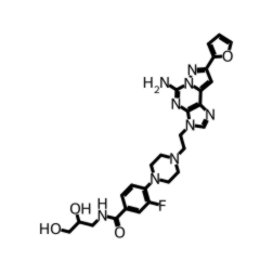 Nc1nc2c(ncn2CCN2CCN(c3ccc(C(=O)NCC(O)CO)cc3F)CC2)c2cc(-c3ccco3)nn12